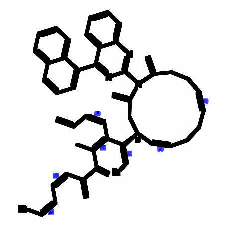 C=C\C=C/C(C(=C\CC)/[C@@H]1/C=C\CC/C=C\CCC(=C)N(c2nc(-c3cccc4ccccc34)c3ccccc3n2)C(=C)C1)=C(\C)C(=C)C(=C)/C=C\C=C/CC